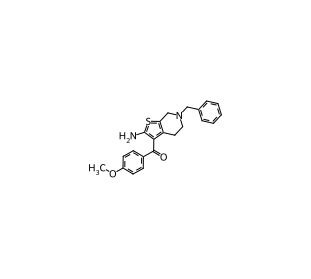 COc1ccc(C(=O)c2c(N)sc3c2CCN(Cc2ccccc2)C3)cc1